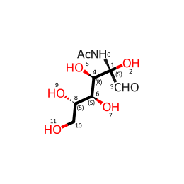 CC(=O)N[C@@](O)(C=O)[C@H](O)[C@@H](O)[C@@H](O)CO